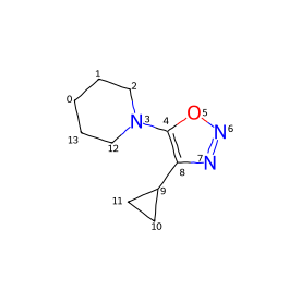 C1CCN(c2onnc2C2CC2)CC1